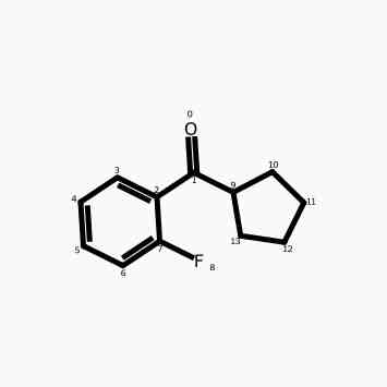 O=C(c1ccccc1F)C1CCCC1